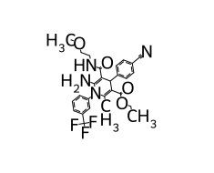 CCOC(=O)C1=C(C)N(c2cccc(C(F)(F)F)c2)C(N)=C(C(=O)NCCOC)C1c1ccc(C#N)cc1